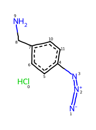 Cl.[N-]=[N+]=Nc1ccc(CN)cc1